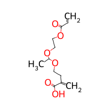 C=CC(=O)OCCOC(C)OCCC(=C)C(=O)O